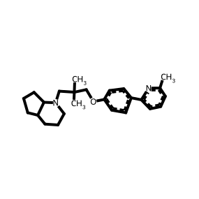 Cc1cccc(-c2ccc(OCC(C)(C)CN3CCCC4CCCC43)cc2)n1